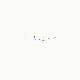 C=CC[C@H]1OC[C@@H](NC(=O)/C=C\[C@H](C)OC(C)=O)[C@@H](C)O1